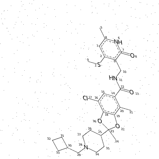 CSc1cc(C)[nH]c(=O)c1CNC(=O)c1cc(Cl)c2c(c1C)OC(C)(C1CCN(CC3CCC3)CC1)O2